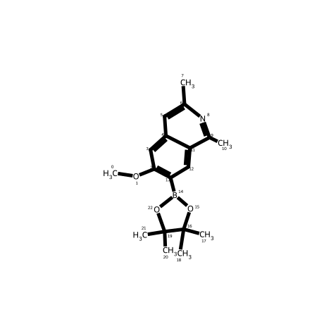 COc1cc2cc(C)nc(C)c2cc1B1OC(C)(C)C(C)(C)O1